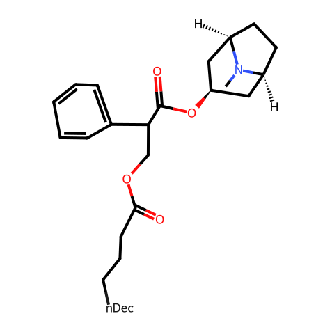 CCCCCCCCCCCCCC(=O)OCC(C(=O)O[C@H]1C[C@H]2CC[C@@H](C1)N2C)c1ccccc1